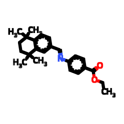 CCOC(=O)c1ccc(N=Cc2ccc3c(c2)C(C)(C)CCC3(C)C)cc1